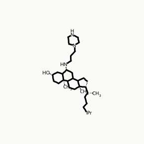 CC(C)CCC[C@@H](C)[C@H]1CCC2C3C[C@@H](NCCCN4CCNCC4)C4C[C@@H](O)CC[C@]4(C)C3CC[C@@]21C